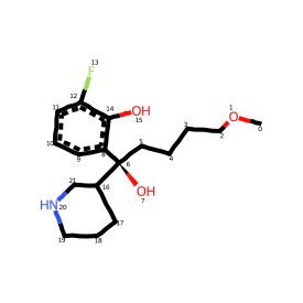 COCCCC[C@@](O)(c1cccc(F)c1O)C1CCCNC1